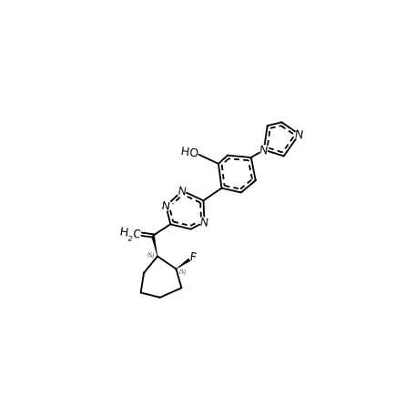 C=C(c1cnc(-c2ccc(-n3ccnc3)cc2O)nn1)[C@@H]1CCCC[C@@H]1F